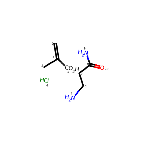 C=C(C)C(=O)O.Cl.NCCC(N)=O